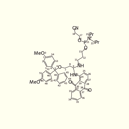 COc1ccc(C(OCCC(NCCCOP(OCCC#N)N(C(C)C)C(C)C)Nc2cccc3c2C(=O)c2ccccc2C3=O)(c2ccccc2)c2ccc(OC)cc2)cc1